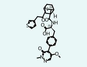 COc1cnn(C)c(=O)c1-c1ccc(C[C@H](NC(=O)[C@@H]2C3CCC(CC3)N2C(=O)Cc2ccsc2)C(=O)O)cc1